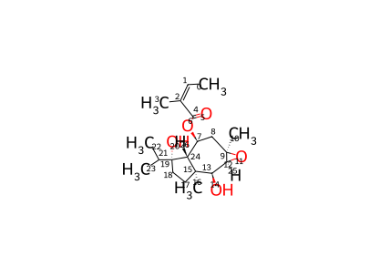 C/C=C(/C)C(=O)O[C@H]1C[C@@]2(C)O[C@H]2[C@@H](O)[C@@]2(C)CC[C@@](O)(C(C)C)[C@H]12